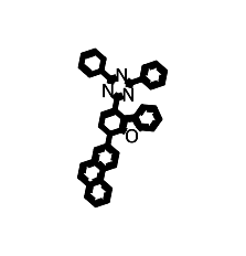 C1=CCC(c2nc(C3=CCC(c4ccc5c(ccc6ccccc65)c4)c4oc5ccccc5c43)nc(-c3ccccc3)n2)C=C1